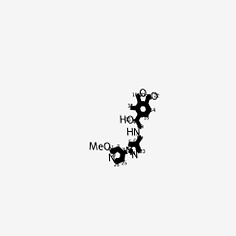 COc1cc(-n2cc(CNC[C@H](O)c3ccc4c(c3C)COC4=O)cn2)ccn1